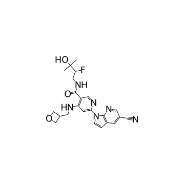 CC(C)(O)C(F)CNC(=O)c1cnc(-n2ccc3cc(C#N)cnc32)cc1NCC1COC1